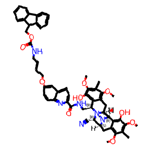 COc1c(C)c(OC)c2c(c1O)[C@@H]1[C@@H]3Cc4c(OC)c(C)c(OC)c(O)c4[C@H](CNC(=O)c4ccc5cc(OCCCCNC(=O)OCC6c7ccccc7-c7ccccc76)ccc5n4)N3[C@@H](C#N)[C@H](C2)N1C